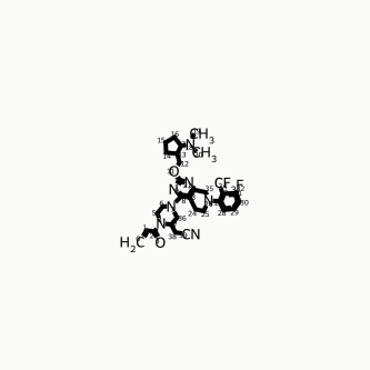 C=CC(=O)N1CCN(c2nc(OCC3CCCC3N(C)C)nc3c2CCN(c2cccc(F)c2C(F)(F)F)C3)CC1CC#N